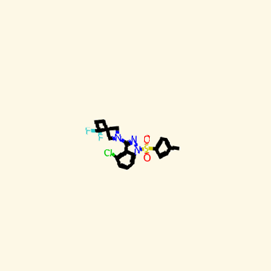 Cc1ccc(S(=O)(=O)n2nc(N3CC4(CCC4(F)F)C3)c3c(Cl)cccc32)cc1